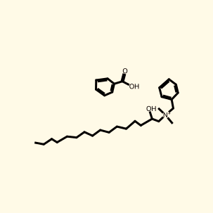 CCCCCCCCCCCCCCC(O)C[N+](C)(C)Cc1ccccc1.O=C(O)c1ccccc1